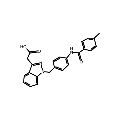 Cc1ccc(C(=O)Nc2ccc(Cn3nc(CC(=O)O)c4ccccc43)cc2)cc1